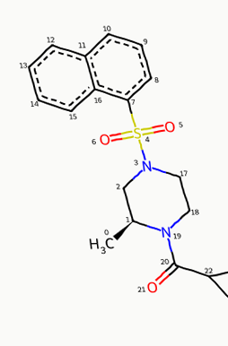 C[C@H]1CN(S(=O)(=O)c2cccc3ccccc23)CCN1C(=O)C1CC1